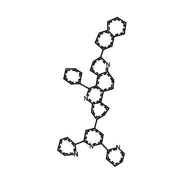 c1ccc(-c2nc3cc(-c4cc(-c5ccccn5)nc(-c5ccccn5)c4)ccc3c3ccc4nc(-c5ccc6ccccc6c5)ccc4c23)cc1